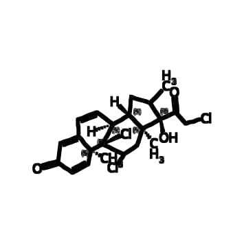 CC1C[C@H]2[C@@H]3C=CC4=CC(=O)C=C[C@]4(C)[C@@]3(Cl)C(Cl)C[C@]2(C)[C@@]1(O)C(=O)CCl